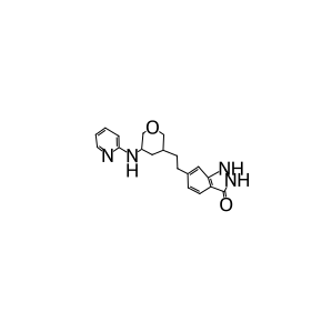 O=c1[nH][nH]c2cc(CCC3COCC(Nc4ccccn4)C3)ccc12